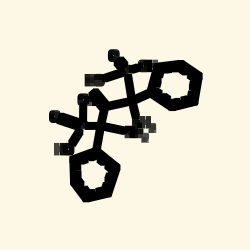 C=C(C(N)(c1ccccc1)P(=O)(O)O)C(N)(c1ccccc1)P(=O)(O)O